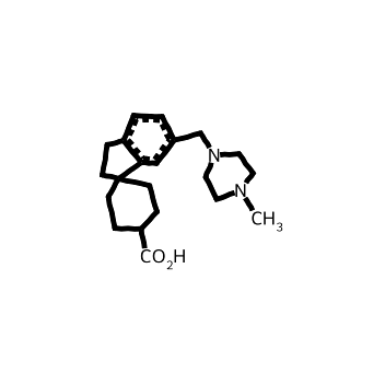 CN1CCN(Cc2ccc3c(c2)C2(CC3)CCC(C(=O)O)CC2)CC1